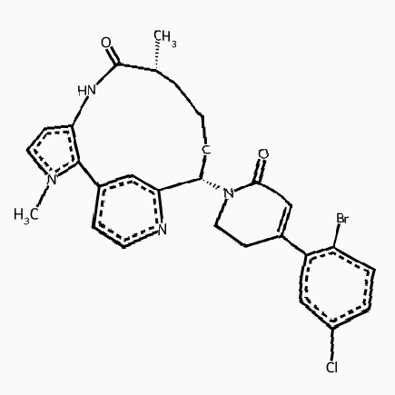 C[C@@H]1CCC[C@H](N2CCC(c3cc(Cl)ccc3Br)=CC2=O)c2cc(ccn2)-c2c(ccn2C)NC1=O